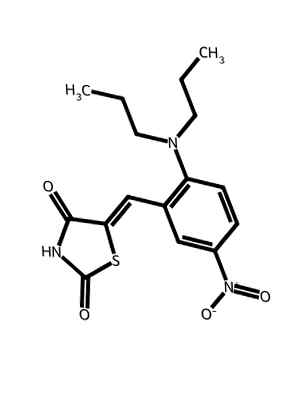 CCCN(CCC)c1ccc([N+](=O)[O-])cc1C=C1SC(=O)NC1=O